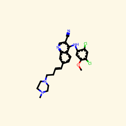 COc1cc(Nc2c(C#N)cnc3cc(C=CCCN4CCN(C)CC4)ccc23)c(Cl)cc1Cl